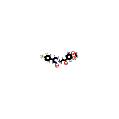 O=C(CCn1ccc(-c2ccc(F)cc2)cc1=O)c1ccc2c(c1)OCCO2